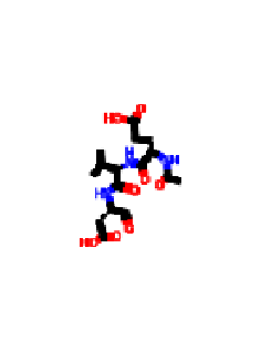 CC(=O)N[C@@H](CCC(=O)O)C(=O)N[C@H](C(=O)N[C@H](C=O)CC(=O)O)C(C)C